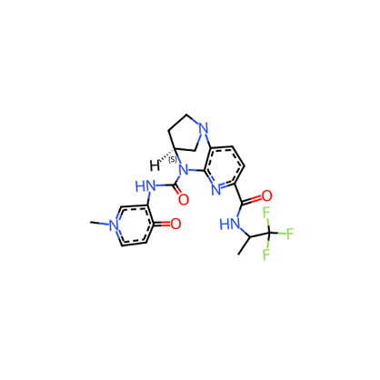 CC(NC(=O)c1ccc2c(n1)N(C(=O)Nc1cn(C)ccc1=O)[C@H]1CCN2C1)C(F)(F)F